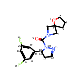 O=C(N1CC2(CCCO2)C1)N1N=CC[C@H]1c1cc(F)cc(F)c1